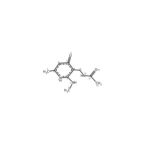 CNc1[nH]c(C)cc(=O)c1CNC(C)=O